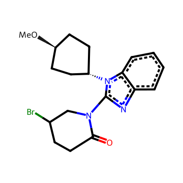 CO[C@H]1CC[C@H](n2c(N3CC(Br)CCC3=O)nc3ccccc32)CC1